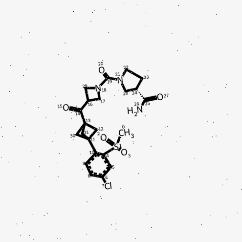 CS(=O)(=O)c1cc(Cl)ccc1C12CC(C(=O)C3CN(C(=O)N4CC[C@H](C(N)=O)C4)C3)(C1)C2